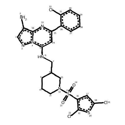 Bc1cnn2c(NCC3CCCN(S(=O)(=O)c4cc(Cl)sc4Cl)C3)cc(-c3ccccc3Cl)nc12